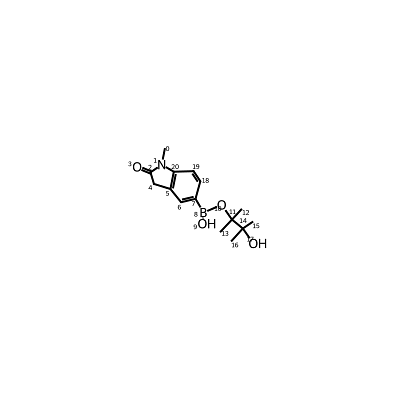 CN1C(=O)Cc2cc(B(O)OC(C)(C)C(C)(C)O)ccc21